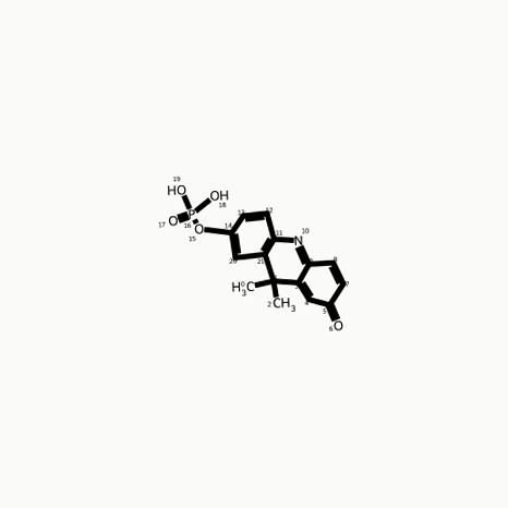 CC1(C)C2=CC(=O)C=CC2=Nc2ccc(OP(=O)(O)O)cc21